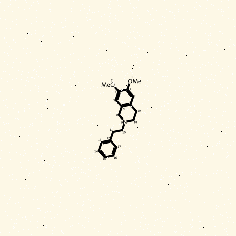 COc1cc2c(cc1OC)CN(CCc1cc[c]cc1)CC2